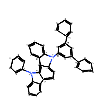 C1=CC(n2c3ccccc3c3ccc4c(c5ccccc5n4-c4cc(-c5ccccc5)cc(-c5ccccc5)c4)c32)=CCC1